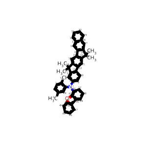 Cc1ccc(C)c(N(c2ccc3c(c2)C(C)(C)c2cc4c(cc2-3)C(C)(C)c2cc3ccccc3cc2-4)c2cccc3c2oc2ccccc23)c1